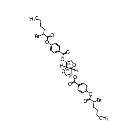 CCCCC(Br)C(=O)Oc1ccc(C(=O)O[C@@H]2CO[C@H]3[C@@H]2OC[C@H]3OC(=O)c2ccc(OC(=O)C(Br)CCCC)cc2)cc1